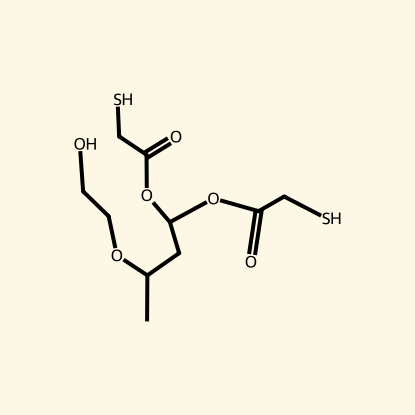 CC(CC(OC(=O)CS)OC(=O)CS)OCCO